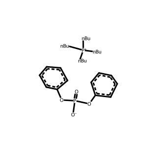 CCCC[P+](CCCC)(CCCC)CCCC.O=P([O-])(Oc1ccccc1)Oc1ccccc1